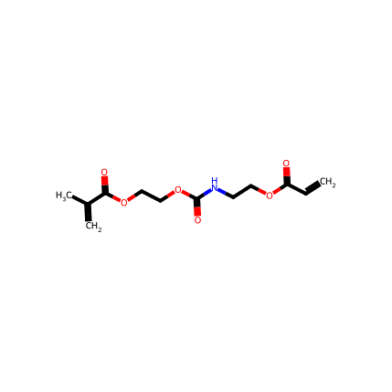 C=CC(=O)OCCNC(=O)OCCOC(=O)C(=C)C